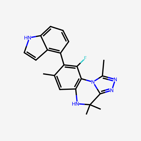 Cc1cc2c(c(F)c1-c1cccc3[nH]ccc13)-n1c(C)nnc1C(C)(C)N2